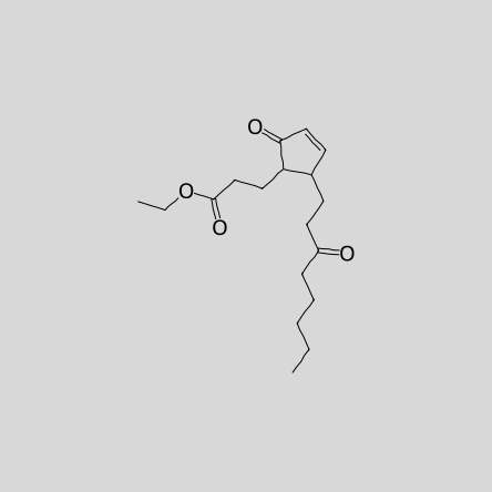 CCCCCC(=O)CCC1C=CC(=O)C1CCC(=O)OCC